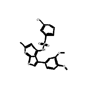 COc1ccc(-c2csc3nc(C)cc(NS(=O)(=O)c4cccc(Cl)c4)c23)cc1OC